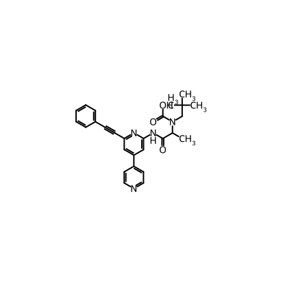 CC(C(=O)Nc1cc(-c2ccncc2)cc(C#Cc2ccccc2)n1)N(CC(C)(C)C)C(=O)O